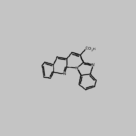 O=C(O)c1cc2cc3ccccc3nc2n2c1nc1ccccc12